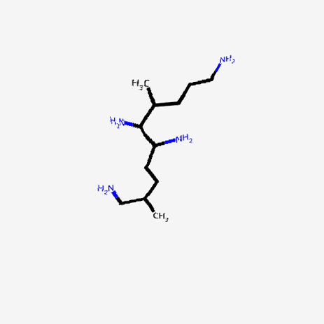 CC(CN)CCC(N)C(N)C(C)CCCN